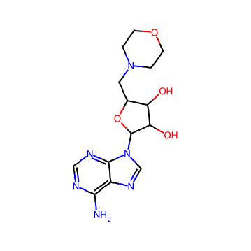 Nc1ncnc2c1ncn2C1OC(CN2CCOCC2)C(O)C1O